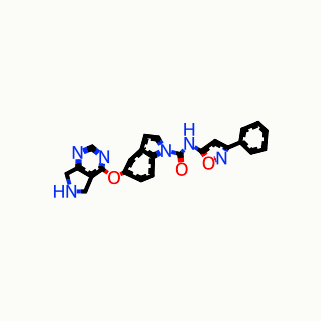 O=C(Nc1cc(-c2ccccc2)no1)n1ccc2cc(Oc3ncnc4c3CNC4)ccc21